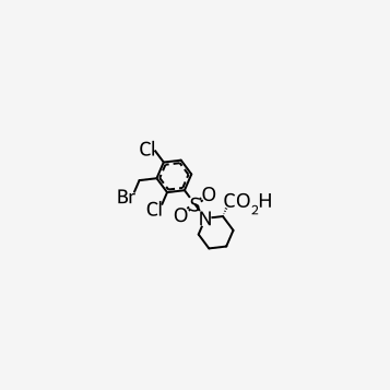 O=C(O)[C@@H]1CCCCN1S(=O)(=O)c1ccc(Cl)c(CBr)c1Cl